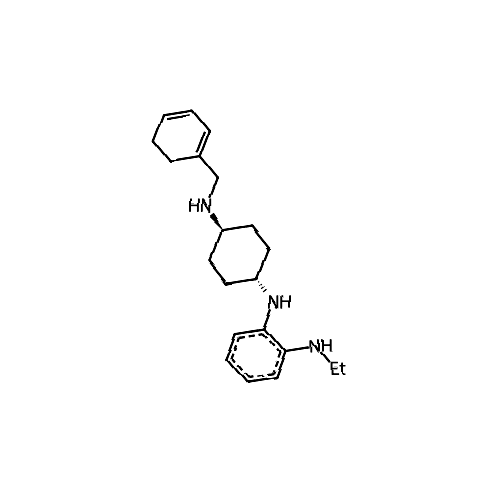 CCNc1ccccc1N[C@H]1CC[C@H](NCC2=CC=CCC2)CC1